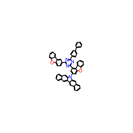 c1ccc(-c2ccc(-c3nc(-c4ccc5oc6ccccc6c5c4)nc(-c4cc(-n5c6cc7ccccc7cc6c6cc7ccccc7cc65)cc5oc6ccccc6c45)n3)cc2)cc1